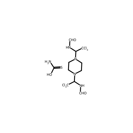 NC(O)=S.O=CNC(N1CCN(C(NC=O)C(Cl)(Cl)Cl)CC1)C(Cl)(Cl)Cl